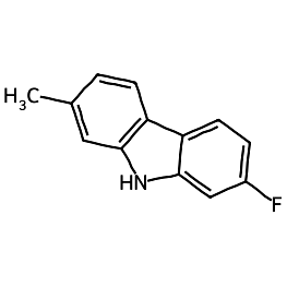 Cc1ccc2c(c1)[nH]c1cc(F)ccc12